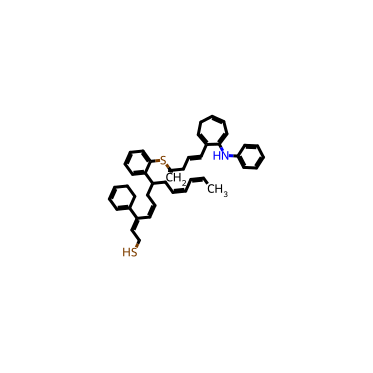 C=C(CC=CC1=CCC=CC=C1Nc1ccccc1)Sc1ccccc1C(C/C=C\C=C/C)C/C=C\C(=C/CS)C1=CC=CCC1